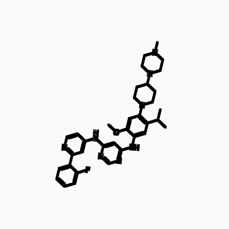 COc1cc(N2CCC(N3CCN(C)CC3)CC2)c(C(C)C)cc1Nc1cc(Nc2ccnc(-c3ccccc3F)c2)ncn1